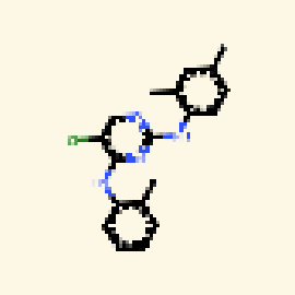 Cc1ccc(Nc2ncc(Cl)c(Nc3ccccc3C)n2)c(C)c1